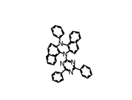 c1ccc(-c2nc(-c3ccccc3)nc(N3c4ccc5ccccc5c4N(c4ccccc4)c4ccc5ccccc5c43)n2)cc1